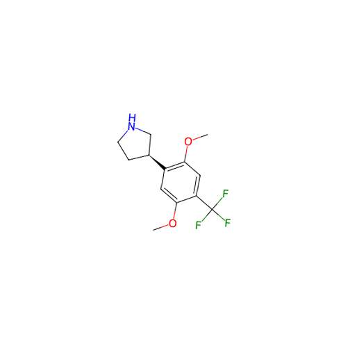 COc1cc(C(F)(F)F)c(OC)cc1[C@H]1CCNC1